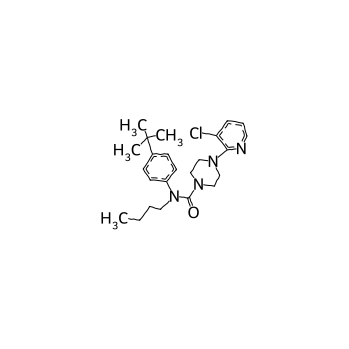 CCCCN(C(=O)N1CCN(c2ncccc2Cl)CC1)c1ccc(C(C)(C)C)cc1